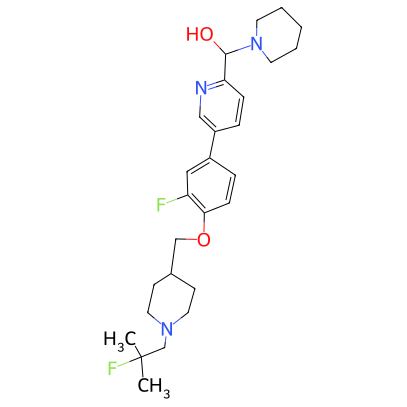 CC(C)(F)CN1CCC(COc2ccc(-c3ccc(C(O)N4CCCCC4)nc3)cc2F)CC1